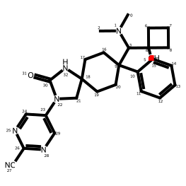 CN(C)C(C1(O)CCC1)C1(c2ccccc2)CCC2(CC1)CN(c1cnc(C#N)nc1)C(=O)N2